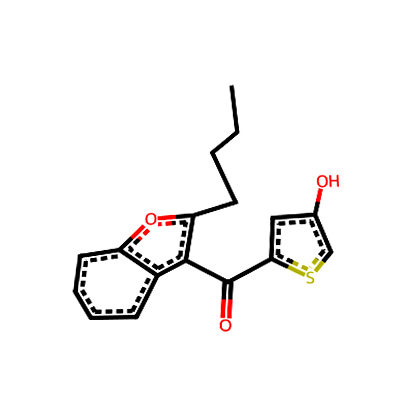 CCCCc1oc2ccccc2c1C(=O)c1cc(O)cs1